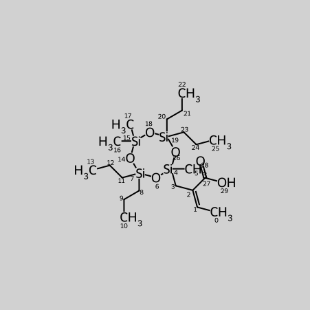 CC=C(C[Si]1(C)O[Si](CCC)(CCC)O[Si](C)(C)O[Si](CCC)(CCC)O1)C(=O)O